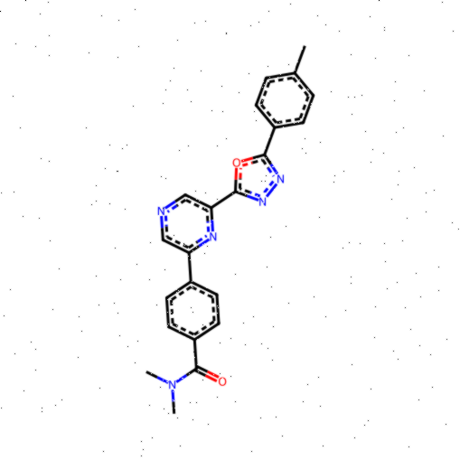 Cc1ccc(-c2nnc(-c3cncc(-c4ccc(C(=O)N(C)C)cc4)n3)o2)cc1